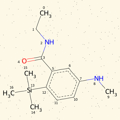 CCNC(=O)c1cc(NC)ccc1[Si](C)(C)C